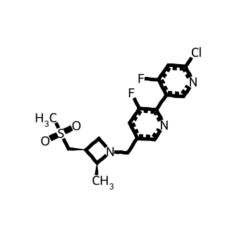 C[C@H]1[C@@H](CS(C)(=O)=O)CN1Cc1cnc(-c2cnc(Cl)cc2F)c(F)c1